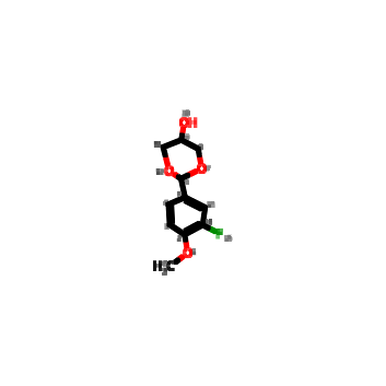 COc1ccc(C2OCC(O)CO2)cc1F